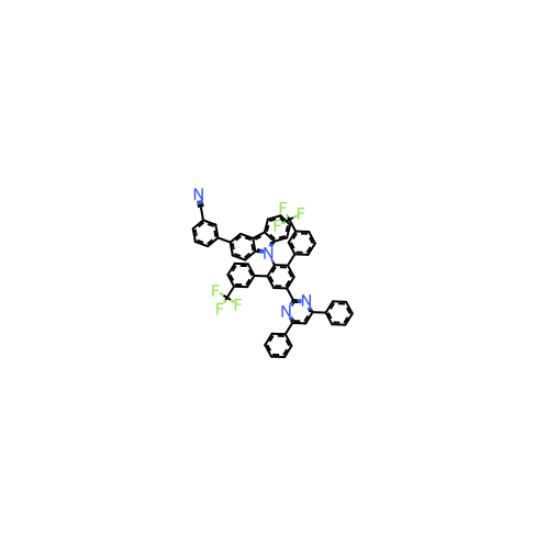 N#Cc1cccc(-c2ccc3c(c2)c2ccccc2n3-c2c(-c3cccc(C(F)(F)F)c3)cc(-c3nc(-c4ccccc4)cc(-c4ccccc4)n3)cc2-c2cccc(C(F)(F)F)c2)c1